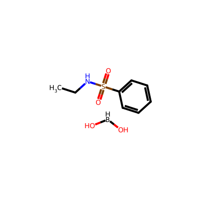 CCNS(=O)(=O)c1ccccc1.OBO